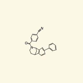 N#Cc1ccc(C(=O)N2CCC3CC2c2cc(-c4ccccc4)ccc23)cc1